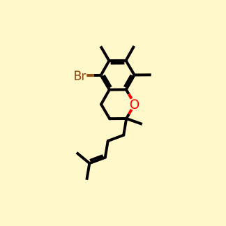 CC(C)=CCCC1(C)CCc2c(Br)c(C)c(C)c(C)c2O1